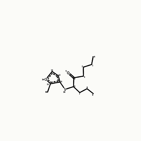 CCCCC(=O)C(CCC)Sc1ccoc1C